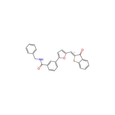 O=C(NCc1ccccc1)c1cccc(-c2ccc(/C=C3\Sc4ccccc4C3=O)o2)c1